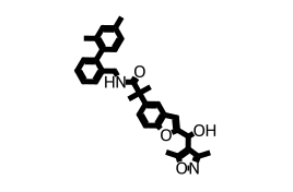 Cc1ccc(-c2ccccc2CNC(=O)C(C)(C)c2ccc3oc(C(O)c4c(C)noc4C)cc3c2)c(C)c1